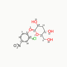 O=[N+]([O-])c1ccc(O[C@@H]2OC(CO)[C@@H](O)CC2O)c(Cl)c1